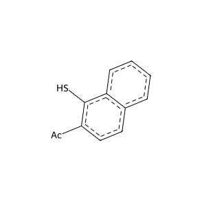 CC(=O)c1ccc2ccccc2c1S